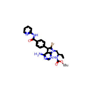 C=CC(Cn1c(Br)c(-c2ccc(C(=O)Nc3ccccn3)cc2)c2c(N)ncnc21)NC(=O)OC(C)(C)C